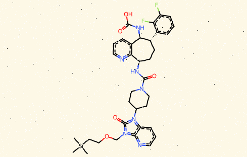 C[Si](C)(C)CCOCn1c(=O)n(C2CCN(C(=O)N[C@@H]3CC[C@@H](c4cccc(F)c4F)[C@H](NC(=O)O)c4cccnc43)CC2)c2cccnc21